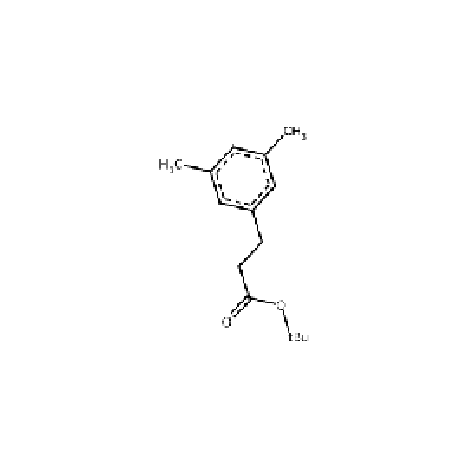 Cc1[c]c(C)cc(CCC(=O)OC(C)(C)C)c1